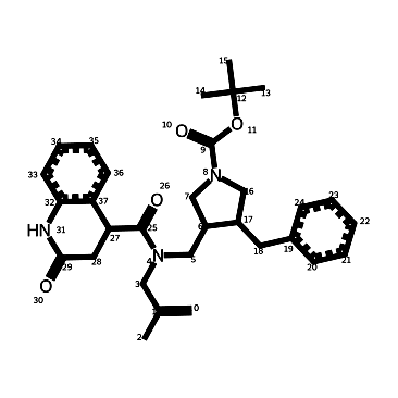 C=C(C)CN(CC1CN(C(=O)OC(C)(C)C)CC1Cc1ccccc1)C(=O)C1CC(=O)Nc2ccccc21